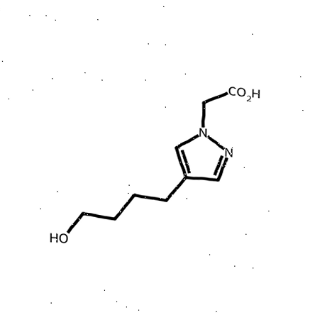 O=C(O)Cn1cc(CCCCO)cn1